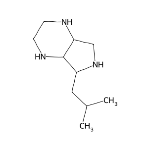 CC(C)CC1NCC2NCCNC21